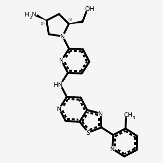 Cc1cccnc1-c1nc2cc(Nc3cccc(N4C[C@@H](N)C[C@H]4CO)n3)ncc2s1